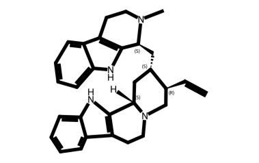 C=C[C@H]1CN2CCc3c([nH]c4ccccc34)[C@@H]2C[C@@H]1C[C@H]1c2[nH]c3ccccc3c2CCN1C